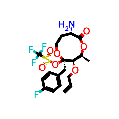 C=CCO[C@H]1[C@H](C)OC(=O)[C@@H](N)CCO[C@]1(Cc1ccc(F)cc1)OS(=O)(=O)C(F)(F)F